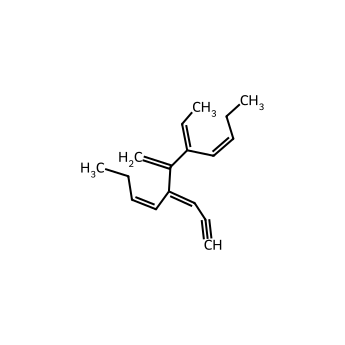 C#C/C=C(\C=C/CC)C(=C)C(/C=C\CC)=C/C